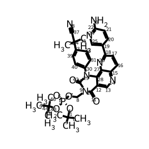 CC(C)(C)OP(=O)(OCn1c(=O)c2cnc3ccc(-c4ccc(N)nc4)nc3c2n(-c2ccc(C(C)(C)C#N)cc2)c1=O)OC(C)(C)C